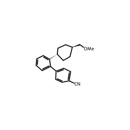 COC[C@H]1CC[C@H](c2ccccc2-c2ccc(C#N)cc2)CC1